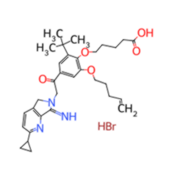 Br.C=CCCCOc1cc(C(=O)CN2Cc3ccc(C4CC4)nc3C2=N)cc(C(C)(C)C)c1OCCCCC(=O)O